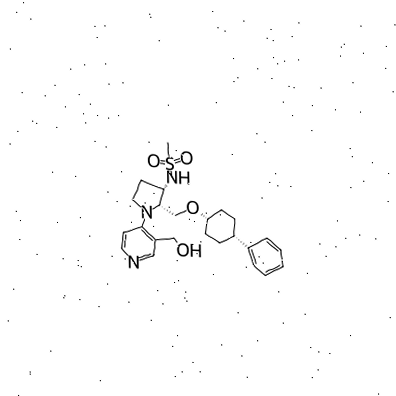 CS(=O)(=O)N[C@H]1CCN(c2ccncc2CO)[C@H]1CO[C@H]1CC[C@@H](c2ccccc2)CC1